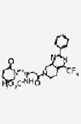 C[C@@H]1CCC(=O)N(C[C@H](CC(=O)N2CCc3c(nc(-c4ccccc4)nc3C(F)(F)F)C2)NC(=O)O)C1